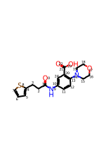 O=C(CCc1cccs1)Nc1ccc(N2CCOCC2)c(C(=O)O)c1